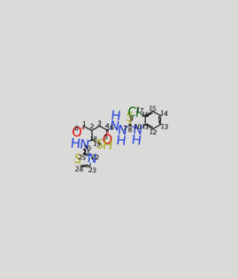 O=CC(CC(=O)NNC(=S)Nc1ccccc1Cl)C(S)Nc1nccs1